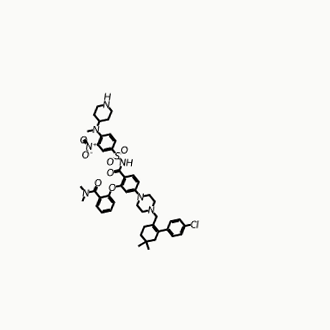 CN(C)C(=O)c1ccccc1Oc1cc(N2CCN(CC3=C(c4ccc(Cl)cc4)CC(C)(C)CC3)CC2)ccc1C(=O)NS(=O)(=O)c1ccc(N(C)C2CCNCC2)c([N+](=O)[O-])c1